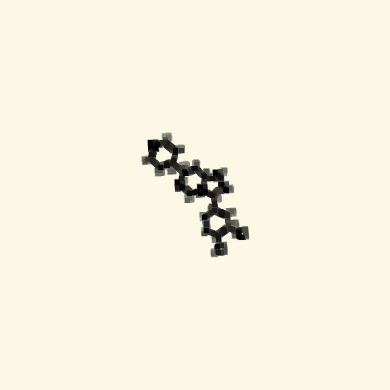 Clc1ccc(-c2nnc3cc(-c4ccncc4)ncn23)cc1Cl